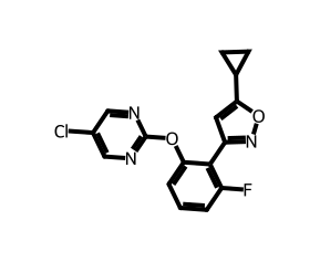 Fc1cccc(Oc2ncc(Cl)cn2)c1-c1cc(C2CC2)on1